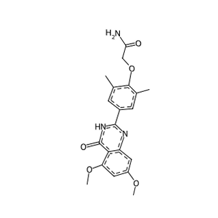 COc1cc(OC)c2c(=O)[nH]c(-c3cc(C)c(OCC(N)=O)c(C)c3)nc2c1